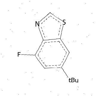 CC(C)(C)c1cc(F)c2ncsc2c1